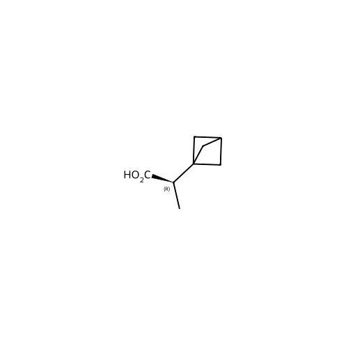 C[C@@H](C(=O)O)C12CC(C1)C2